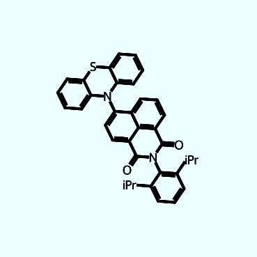 CC(C)c1cccc(C(C)C)c1N1C(=O)c2cccc3c(N4c5ccccc5Sc5ccccc54)ccc(c23)C1=O